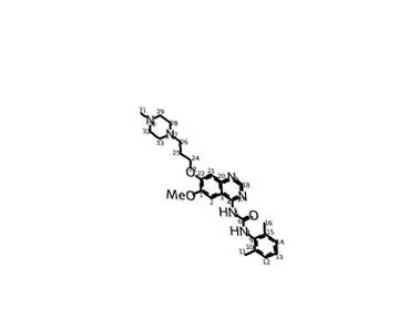 COc1cc2c(NC(=O)Nc3c(C)cccc3C)ncnc2cc1OCCCN1CCN(C)CC1